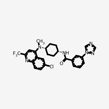 CN(c1cc(C(F)(F)F)nc2ccc(Cl)cc12)[C@H]1CC[C@@H](NC(=O)c2cccc(-n3cncn3)c2)CC1